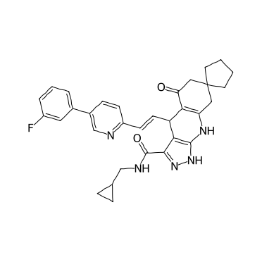 O=C1CC2(CCCC2)CC2=C1C(/C=C/c1ccc(-c3cccc(F)c3)cn1)c1c(C(=O)NCC3CC3)n[nH]c1N2